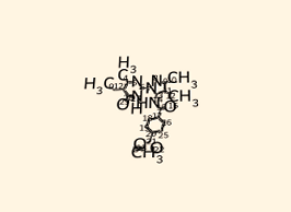 CCc1c(C)nc(-n2nc(C)c(C)c2NC(=O)c2ccc(C(=O)OC)cc2)[nH]c1=O